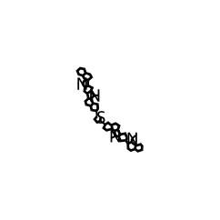 Cn1c2cc3c4ccc5cc(-c6ccc(-c7ccc8c(ccc9c%10cc%11c(cc%10n(C)c89)c8ccc9ccccc9c8n%11C)c7)s6)ccc5c4n(C)c3cc2c2ccc3ccccc3c21